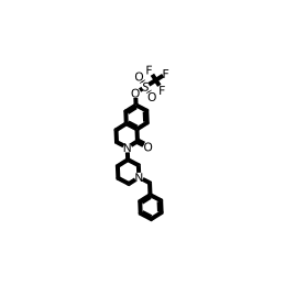 O=C1c2ccc(OS(=O)(=O)C(F)(F)F)cc2CCN1C1CCCN(Cc2ccccc2)C1